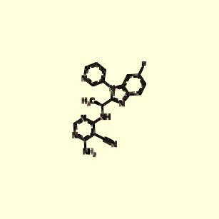 C[C@H](Nc1ncnc(N)c1C#N)c1nc2ccc(F)cc2n1-c1cccnc1